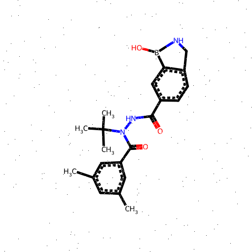 Cc1cc(C)cc(C(=O)N(NC(=O)c2ccc3c(c2)B(O)NC3)C(C)(C)C)c1